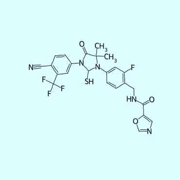 CC1(C)C(=O)N(c2ccc(C#N)c(C(F)(F)F)c2)C(S)N1c1ccc(CNC(=O)c2cnco2)c(F)c1